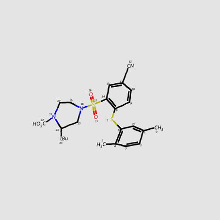 Cc1ccc(C)c(Sc2ccc(C#N)cc2S(=O)(=O)N2CCN(C(=O)O)C(C(C)(C)C)C2)c1